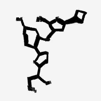 CCCC1N=C(C2CCC2)C=C1Oc1cc(NC)ccc1-c1ncc(C(O)CN)s1